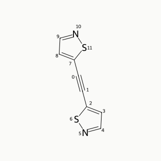 C(#Cc1ccns1)c1ccns1